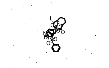 CC[C@H]1CN(Cc2cnnn2S(=O)(=O)c2ccccc2)C(=O)C2CCCC1N2S(=O)(=O)c1cccc(F)c1